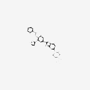 CCS(=O)(=O)N1CCN(c2ccc3nc(-c4ccc(OCc5ccccc5)c(-c5ccn[nH]5)c4)[nH]c3n2)CC1